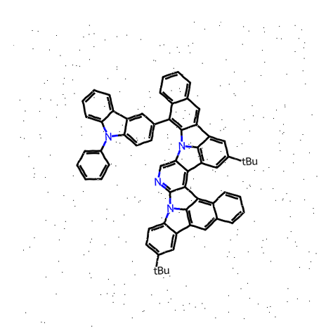 CC(C)(C)c1ccc2c(c1)c1cc3ccccc3c3c4c5c6cc(C(C)(C)C)cc7c8cc9ccccc9c(-c9ccc%10c(c9)c9ccccc9n%10-c9ccccc9)c8n(c5cnc4n2c13)c76